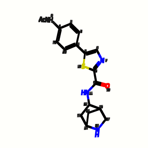 CC(=O)Nc1ccc(-c2cnc(C(=O)NC3CC4CC3CN4)s2)cc1